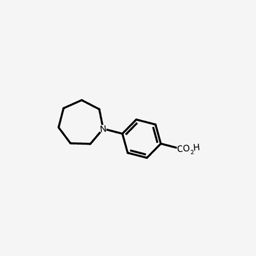 O=C(O)c1ccc(N2CCCCCC2)cc1